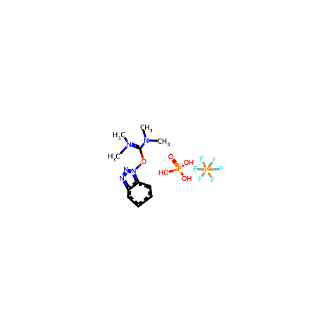 CN(C)C(On1nnc2ccccc21)=[N+](C)C.F[P-](F)(F)(F)(F)F.O=P(O)(O)O